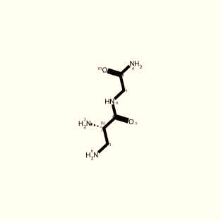 NC[C@H](N)C(=O)NCC(N)=O